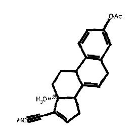 C#CC1=CCC2C3=CCc4cc(OC(C)=O)ccc4C3CC[C@]12C